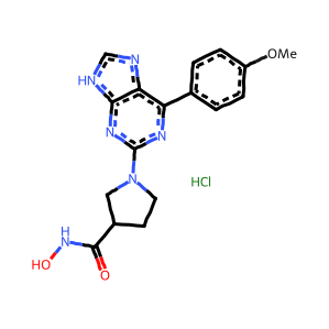 COc1ccc(-c2nc(N3CCC(C(=O)NO)C3)nc3[nH]cnc23)cc1.Cl